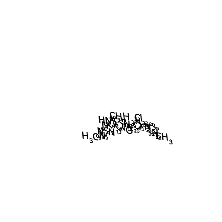 CCn1cc2ncc(N[C@@H](C)c3cccc(NC(=O)c4ccc(CN5CCN(C)CC5)c(Cl)c4)c3)nc2n1